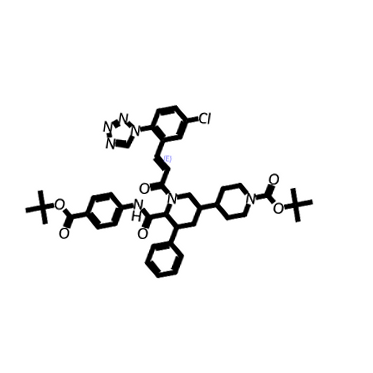 CC(C)(C)OC(=O)c1ccc(NC(=O)C2C(c3ccccc3)CC(C3CCN(C(=O)OC(C)(C)C)CC3)CN2C(=O)/C=C/c2cc(Cl)ccc2-n2cnnn2)cc1